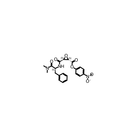 CN(C)C(=O)[C@H](Cc1ccccc1)NC(=O)[C@H]1O[C@@H]1C(=O)Oc1ccc([N+](=O)[O-])cc1